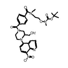 CN(CCON(C)C(=O)OC(C)(C)C)C(=O)c1ccc(C(=O)N2CCN(c3ccc([N+](=O)[O-])c4ncccc34)C(CO)C2)cc1